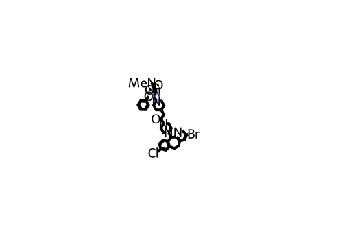 CNS(=O)(=O)/N=C(\Oc1ccccc1)N1CCC(CC(=O)N2CCN(C3c4ccc(Cl)cc4CCc4cc(Br)cnc43)CC2)CC1